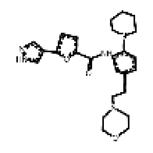 O=C(Nc1cc(CCN2CCOCC2)ccc1N1CCCCC1)c1ccc(-c2cn[nH]c2)o1